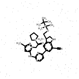 Cc1cc(Nc2nccc(-c3cc(C#N)c4c(c3)[C@@](C)(CO[Si](C)(C)C(C)(C)C)CN4)n2)n(CC(=O)N2CCCC2)n1